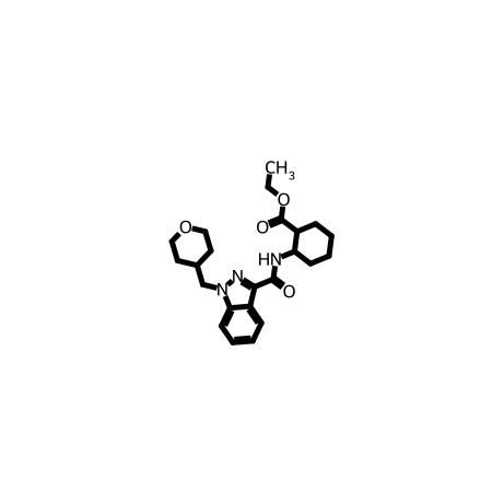 CCOC(=O)C1CCCCC1NC(=O)c1nn(CC2CCOCC2)c2ccccc12